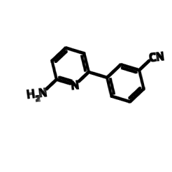 N#Cc1cccc(-c2cccc(N)n2)c1